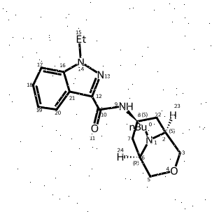 CCCCN1[C@@H]2COC[C@H]1C[C@@H](NC(=O)c1nn(CC)c3ccccc13)C2